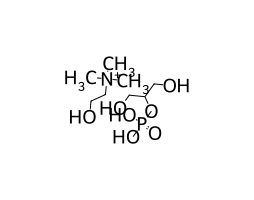 C[N+](C)(C)CCO.O=P(O)(O)OC(CO)CO